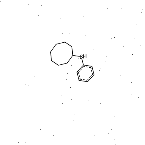 B(c1ccccc1)C1CCCCCCC1